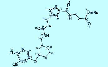 CC(C)(C)OC(=O)CCNC(=O)c1csc(SCC(=O)NCC2CN(Cc3ccc(Cl)c(Cl)c3)CCO2)n1